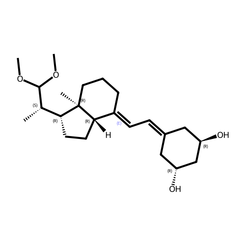 COC(OC)[C@@H](C)[C@H]1CC[C@H]2/C(=C/C=C3C[C@@H](O)C[C@H](O)C3)CCC[C@]12C